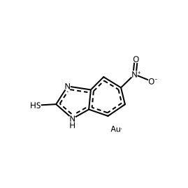 O=[N+]([O-])c1ccc2[nH]c(S)nc2c1.[Au]